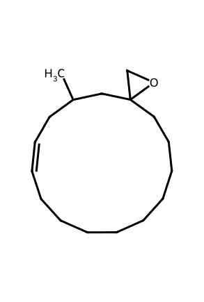 CC1CC=CCCCCCCCCCC2(CO2)C1